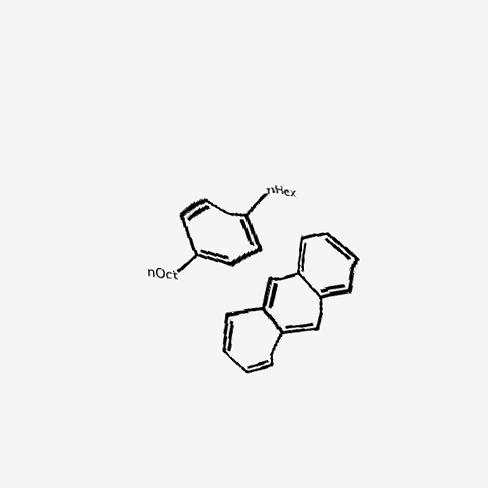 CCCCCCCCc1ccc(CCCCCC)cc1.c1ccc2cc3ccccc3cc2c1